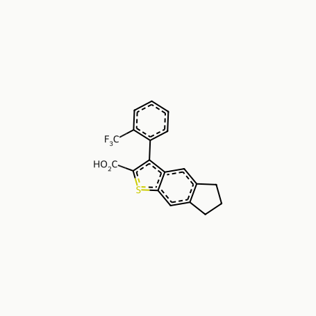 O=C(O)c1sc2cc3c(cc2c1-c1ccccc1C(F)(F)F)CCC3